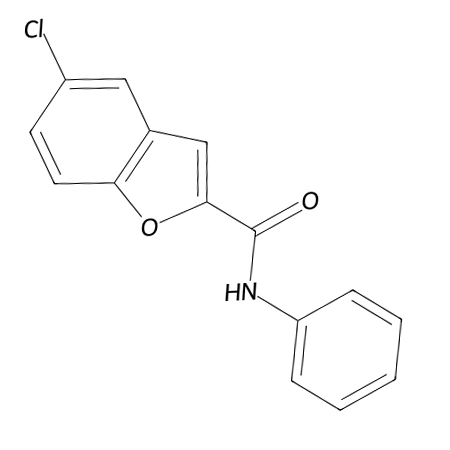 O=C(Nc1ccccc1)c1cc2cc(Cl)ccc2o1